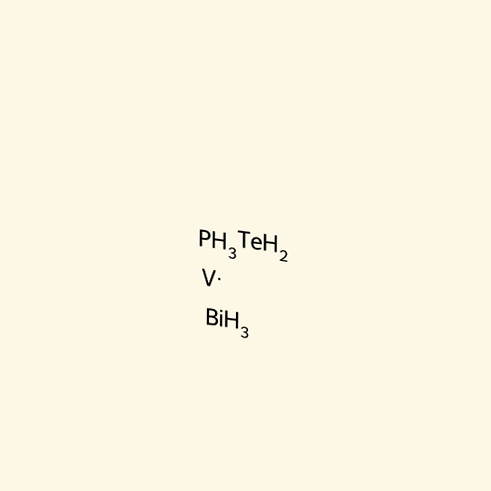 P.[BiH3].[TeH2].[V]